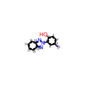 Oc1ccc(I)cc1-n1nc2ccccc2n1